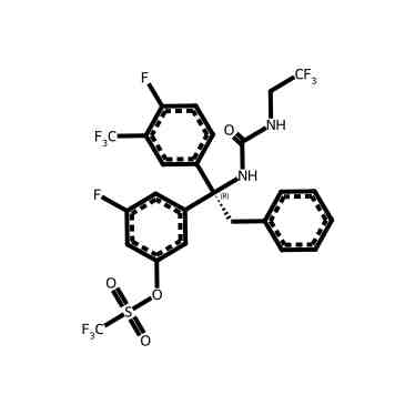 O=C(NCC(F)(F)F)N[C@@](Cc1ccccc1)(c1cc(F)cc(OS(=O)(=O)C(F)(F)F)c1)c1ccc(F)c(C(F)(F)F)c1